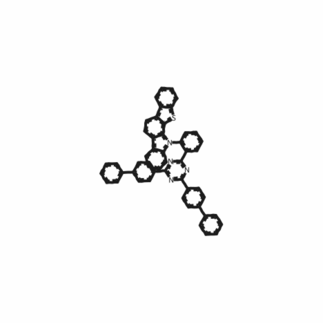 c1ccc(-c2ccc(-c3nc(-c4ccc(-c5ccccc5)cc4)nc(-c4ccccc4-n4c5ccccc5c5ccc6c7ccccc7sc6c54)n3)cc2)cc1